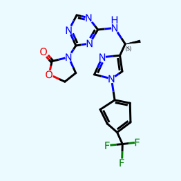 C[C@H](Nc1ncnc(N2CCOC2=O)n1)c1cn(-c2ccc(C(F)(F)F)cc2)cn1